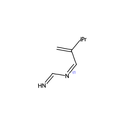 C=C(/C=N\C=N)C(C)C